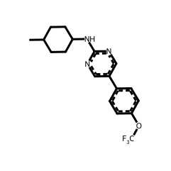 CC1CCC(Nc2ncc(-c3ccc(OC(F)(F)F)cc3)cn2)CC1